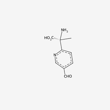 C[C@@](N)(C(=O)O)c1ccc(C=O)cn1